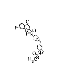 COC(=O)n1ccc2cc(CN3CCC(NC(=O)c4cc(=O)c5ccc(F)cc5o4)CC3)ccc21